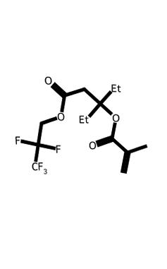 C=C(C)C(=O)OC(CC)(CC)CC(=O)OCC(F)(F)C(F)(F)F